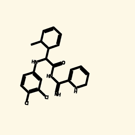 CC1C=CC=CC1C(Nc1ccc(Cl)c(Cl)c1)C(=O)NC(=N)C1=CC=CCN1